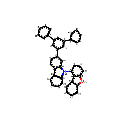 c1ccc(-c2cc(-c3ccccc3)cc(-c3ccc4c5ccccc5n(-c5cccc6oc7ccccc7c56)c4c3)c2)cc1